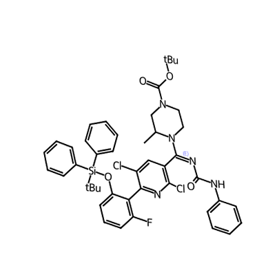 CC1CN(C(=O)OC(C)(C)C)CCN1/C(=N/C(=O)Nc1ccccc1)c1cc(Cl)c(-c2c(F)cccc2O[Si](c2ccccc2)(c2ccccc2)C(C)(C)C)nc1Cl